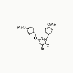 COc1ccc(COc2cc(Br)c(=O)n(Cc3ccc(OC)cc3)n2)cc1